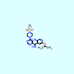 CC(C)Oc1cc(C(=N)c2cc(N3CCN(S(C)(=O)=O)CC3)ncn2)c(N)cn1